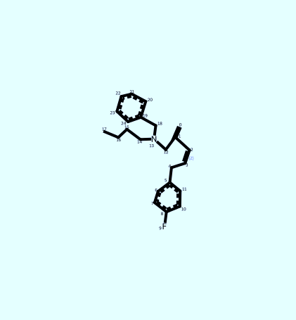 C=C(/C=C\Cc1ccc(F)cc1)CN(CCCC)Cc1ccccc1